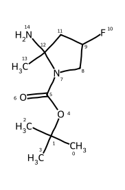 CC(C)(C)OC(=O)N1CC(F)CC1(C)N